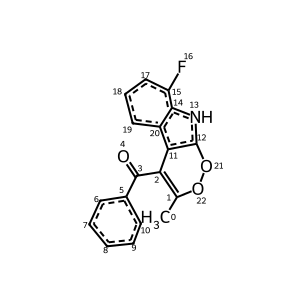 CC1=C(C(=O)c2ccccc2)c2c([nH]c3c(F)cccc23)OO1